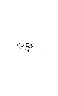 Cc1c(N2CC3CCCNC3C2)c(F)cc2c(=O)c(C(=O)O)cn([C@@H]3C[C@@H]3F)c12